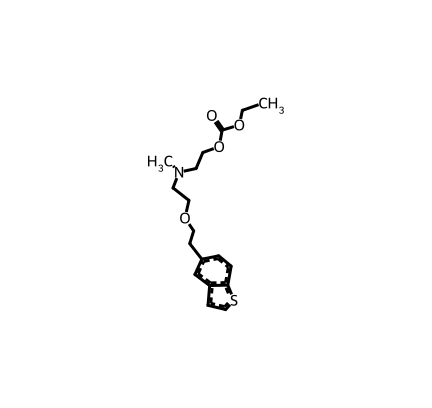 CCOC(=O)OCCN(C)CCOCCc1ccc2sccc2c1